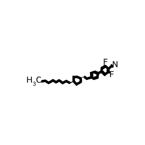 CCCCCCCCCC[C@H]1CC[C@H](CCc2ccc(-c3cc(F)c(C#N)c(F)c3)cc2)CC1